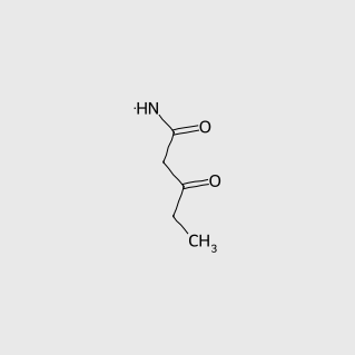 CCC(=O)CC([NH])=O